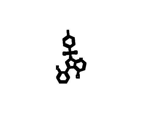 Cc1ccc(S(=O)(=O)n2cc(-c3ccccc3F)c3c(Cl)ccnc32)cc1